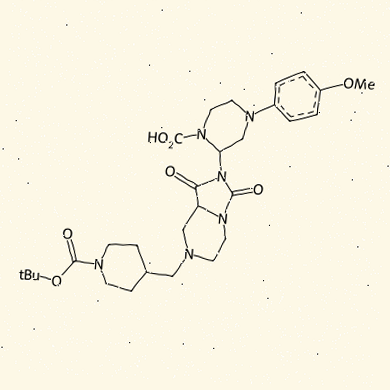 COc1ccc(N2CCN(C(=O)O)C(N3C(=O)C4CN(CC5CCN(C(=O)OC(C)(C)C)CC5)CCN4C3=O)C2)cc1